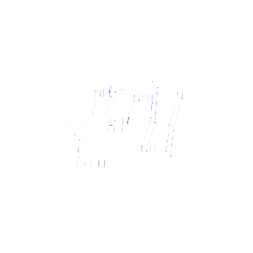 NC(=O)O.NC(=O)O.NC(=O)O.NC(=O)O.[N-]=[N+]=N.[N-]=[N+]=[N-]